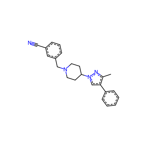 Cc1nn(C2CCN(Cc3cccc(C#N)c3)CC2)cc1-c1ccccc1